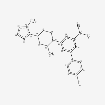 CCN(CC)c1nc(-c2ccc(F)cc2)cc(N2CCC(c3nccn3C)CC2C)n1